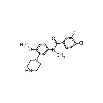 COc1ccc(N(C)C(=O)c2ccc(Cl)c(Cl)c2)cc1N1CCNCC1